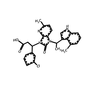 Cc1ccc2c(n1)n(C(CC(=O)O)c1cccc(Cl)c1)c(=O)n2C(C)c1c[nH]c2cccc(C)c12